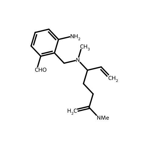 C=CC(CCC(=C)NC)N(C)Cc1c(N)cccc1C=O